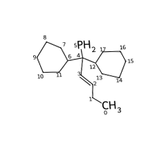 CCC=CC(P)(C1CCCCC1)C1CCCCC1